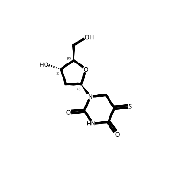 O=C1NC(=O)N([C@H]2C[C@H](O)[C@@H](CO)O2)CC1=S